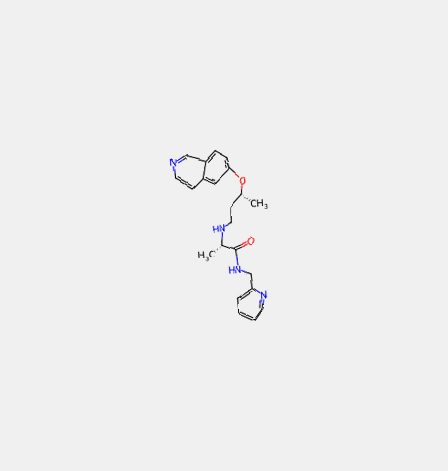 C[C@H](CCN[C@@H](C)C(=O)NCc1ccccn1)Oc1ccc2cnccc2c1